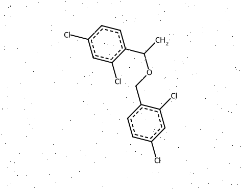 [CH2]C(OCc1ccc(Cl)cc1Cl)c1ccc(Cl)cc1Cl